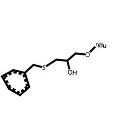 CCCCOCC(O)CSCc1ccccc1